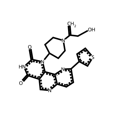 C=C(CO)N1CCC(n2c(=O)[nH]c(=O)c3cnc4ccc(-c5ccsc5)nc4c32)CC1